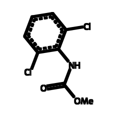 [CH2]OC(=O)Nc1c(Cl)cccc1Cl